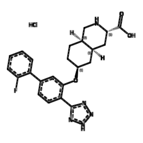 Cl.O=C(O)[C@@H]1C[C@H]2C[C@@H](Oc3cc(-c4ccccc4F)ccc3-c3nn[nH]n3)CC[C@H]2CN1